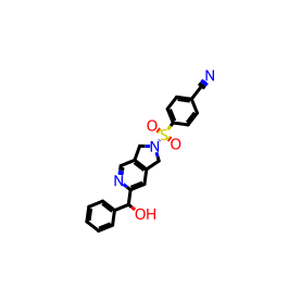 N#Cc1ccc(S(=O)(=O)N2Cc3cnc(C(O)c4ccccc4)cc3C2)cc1